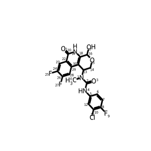 CN(C(=O)Nc1ccc(F)c(Cl)c1)C1COC(O)c2[nH]c(=O)c3cc(F)c(F)cc3c21